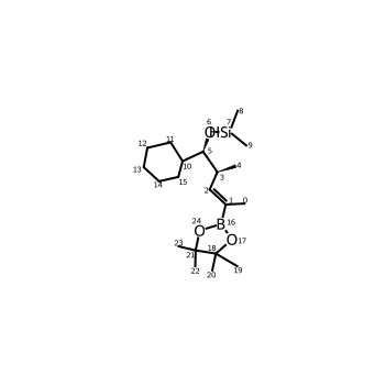 CC(=C[C@H](C)[C@H](O[SiH](C)C)C1CCCCC1)B1OC(C)(C)C(C)(C)O1